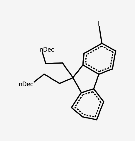 CCCCCCCCCCCCC1(CCCCCCCCCCCC)c2ccccc2-c2ccc(I)cc21